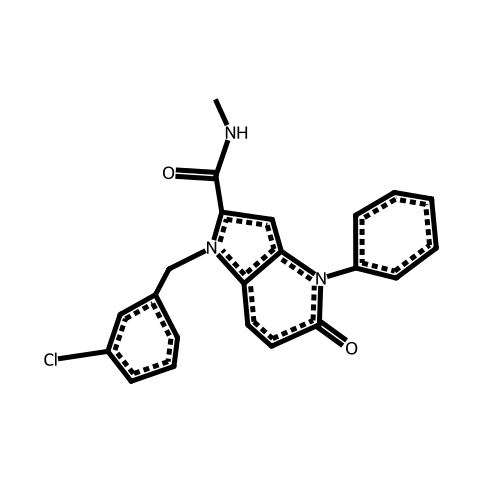 CNC(=O)c1cc2c(ccc(=O)n2-c2ccccc2)n1Cc1cccc(Cl)c1